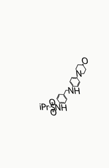 CC(C)S(=O)(=O)Nc1ccc(CNc2ccc(N3CCC(=O)CC3)cc2)cc1